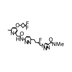 CNC(=O)c1cn(C[C@@H](F)CCc2ccc(NC(=O)Cc3cc(OC4CC(F)(F)C4)cc(C)n3)nn2)nn1